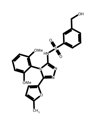 COc1cccc(OC)c1-n1c(NS(=O)(=O)c2cccc(CO)c2)nnc1-c1ccc(C)o1